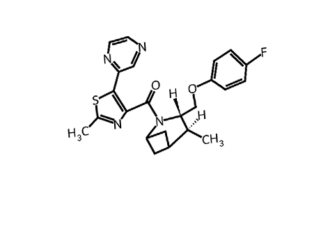 Cc1nc(C(=O)N2C3CC(C3)[C@H](C)[C@H]2COc2ccc(F)cc2)c(-c2cnccn2)s1